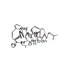 CCCN(C(=O)c1ccc2ccccc2n1)[C@@H](CC(=O)NC)C(=O)N(Cc1ccccc1)NS(=O)(=O)c1cccc(CCC(C)C)c1O